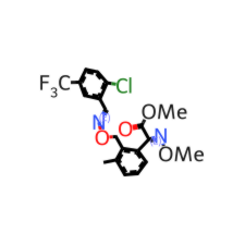 CO/N=C(/C(=O)OC)c1cccc(C)c1CO/N=C/c1cc(C(F)(F)F)ccc1Cl